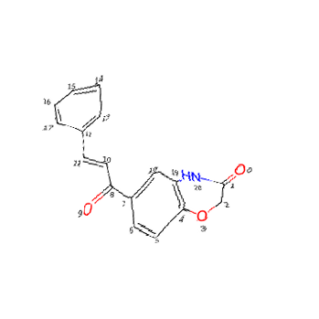 O=C1COc2ccc(C(=O)/C=C/c3ccccc3)cc2N1